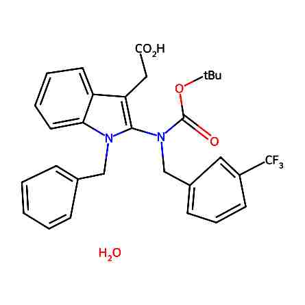 CC(C)(C)OC(=O)N(Cc1cccc(C(F)(F)F)c1)c1c(CC(=O)O)c2ccccc2n1Cc1ccccc1.O